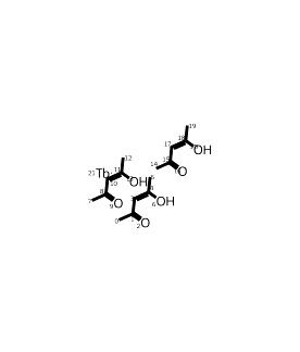 CC(=O)/C=C(/C)O.CC(=O)/C=C(/C)O.CC(=O)/C=C(/C)O.[Tb]